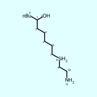 CCCCC(O)CCCCC[SiH2]CCN